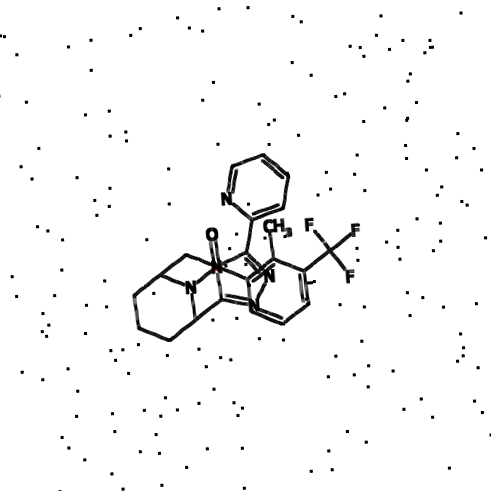 Cc1c(C(=O)N2C3CCCC2c2nnc(-c4ccccn4)n2C3)cccc1C(F)(F)F